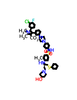 Cc1cc(S(=O)(=O)Nc2ccc(N3CCN(c4cccc(-c5c(C(=O)O)c(C)n(C)c5-c5ccc(F)c(Cl)c5)c4)CC3)cc2)ccc1N[C@H](CCN1CCC(O)CC1)CSc1ccccc1